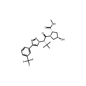 CNC(=O)[C@@H]1C[C@@H](O)CN1C(=O)[C@@H](n1cc(-c2cccc(C(F)(F)F)c2)nn1)C(C)(C)C